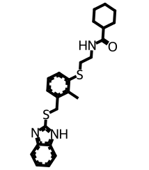 Cc1c(CSc2nc3ccccc3[nH]2)cccc1SCCNC(=O)C1CCCCC1